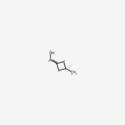 CC1CC(=NO)C1